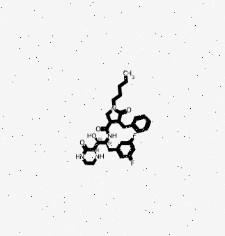 CCCCCN1CC(C(=O)N[C@@H](Cc2cc(F)cc(F)c2)[C@H](O)[C@@H]2NCCNC2=O)C(Cc2ccccc2)C1=O